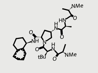 CN[C@@H](C)C(=O)N[C@@H](C)C(=O)N[C@H]1C[C@@H](C(=O)N[C@@H]2CCCc3ccccc32)N(C(=O)[C@@H](NC(=O)[C@H](C)NC)C(C)(C)C)C1